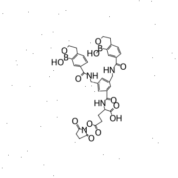 O=C(CCC(NC(=O)c1cc(CNC(=O)c2ccc3c(c2)B(O)OCC3)cc(CNC(=O)c2ccc3c(c2)B(O)OCC3)c1)C(=O)O)ON1C(=O)CCC1=O